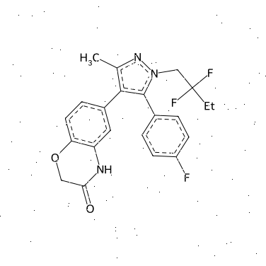 CCC(F)(F)Cn1nc(C)c(-c2ccc3c(c2)NC(=O)CO3)c1-c1ccc(F)cc1